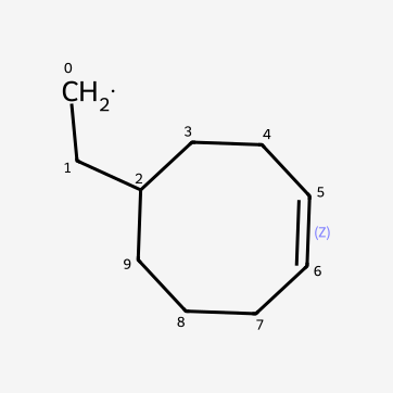 [CH2]CC1CC/C=C\CCC1